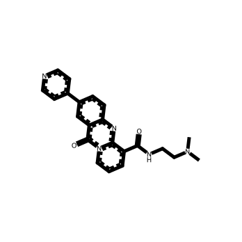 CN(C)CCNC(=O)c1cccn2c(=O)c3cc(-c4ccncc4)ccc3nc12